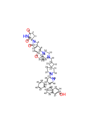 O=C1CCC(N2Cc3cc4c(cc3C2=O)OC[C@@H]2CN(CC3CC5(CCN(c6ccc([C@@H]7c8ccc(O)cc8CC[C@@H]7c7ccccc7)cn6)CC5)C3)CCN42)C(=O)N1